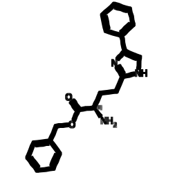 N[C@H](CCc1nc(-c2ccccc2)c[nH]1)C(=O)OCc1ccccc1